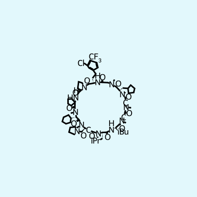 CC[C@H](C)[C@@H]1NC(=O)[C@H](CC(C)C)N(C)C(=O)C[C@@H](C(=O)N2CCCC2)N(C)C(=O)[C@H](C2CCCCC2)N(C)C(=O)C2(CCCC2)NC(=O)[C@@H]2CCCN2C(=O)[C@H](CCc2ccc(C(F)(F)F)c(Cl)c2)NC(=O)CN(C)C(=O)[C@H](CC2CCCC2)N(C)C(=O)CN(C)C(=O)CN(C)C1=O